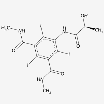 CNC(=O)c1c(I)c(NC(=O)[C@H](C)O)c(I)c(C(=O)NC)c1I